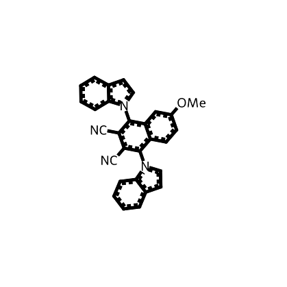 COc1ccc2c(-n3ccc4ccccc43)c(C#N)c(C#N)c(-n3ccc4ccccc43)c2c1